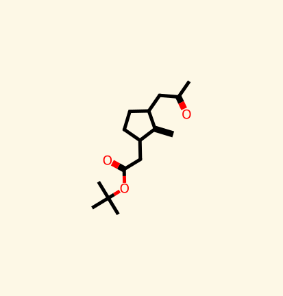 C=C1C(CC(C)=O)CCC1CC(=O)OC(C)(C)C